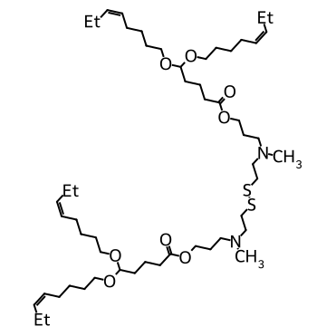 CC/C=C\CCCCOC(CCCC(=O)OCCCN(C)CCSSCCN(C)CCCOC(=O)CCCC(OCCCC/C=C\CC)OCCCC/C=C\CC)OCCCC/C=C\CC